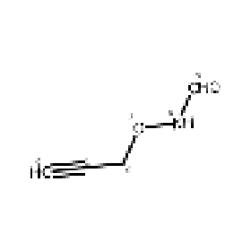 C#CCONC=O